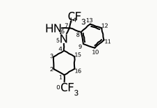 FC(F)(F)C1CCC(N2NC2(c2ccccc2)C(F)(F)F)CC1